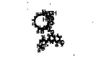 COc1ccc2c(OCC[C@@H]3NC(=O)N(C)CCCC/C=C\[C@@H]4C[C@@]4(C(=O)O)NC3=O)cc(-c3cc(C(F)(F)F)nn3C)nc2c1C